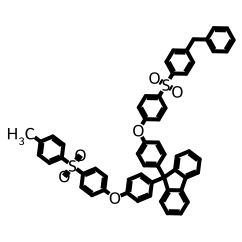 Cc1ccc(S(=O)(=O)c2ccc(Oc3ccc(C4(c5ccc(Oc6ccc(S(=O)(=O)c7ccc(Cc8ccccc8)cc7)cc6)cc5)c5ccccc5-c5ccccc54)cc3)cc2)cc1